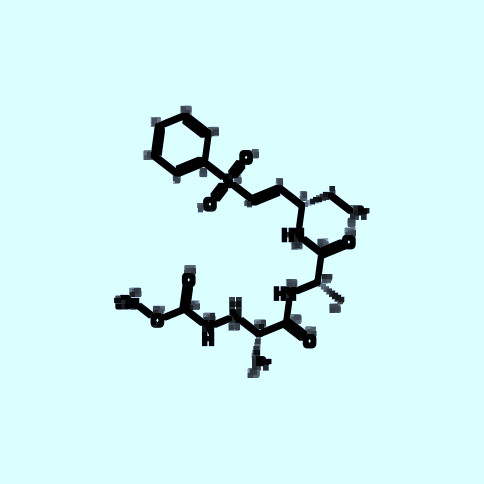 CC(C)C[C@@H](C=CS(=O)(=O)c1ccccc1)NC(=O)[C@H](C)NC(=O)[C@@H](NNC(=O)OC(C)(C)C)C(C)C